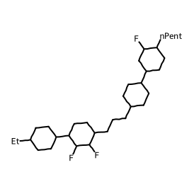 CCCCCC1CCC(C2CCC(CCCC3CCC(C4CCC(CC)CC4)C(F)C3F)CC2)CC1F